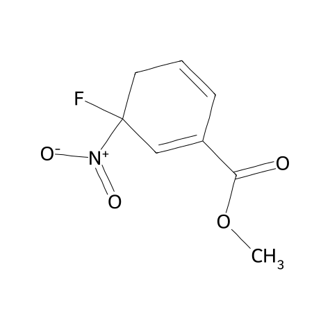 COC(=O)C1=CC(F)([N+](=O)[O-])CC=C1